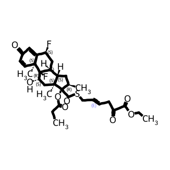 CCOC(=O)C(=O)C/C=C/CSC(=O)[C@@]1(OC(=O)CC)[C@H](C)C[C@H]2[C@@H]3C[C@H](F)C4=CC(=O)C=C[C@]4(C)[C@@]3(F)[C@@H](O)C[C@@]21C